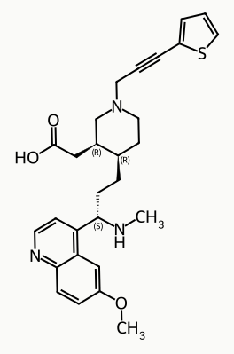 CN[C@@H](CC[C@@H]1CCN(CC#Cc2cccs2)C[C@@H]1CC(=O)O)c1ccnc2ccc(OC)cc12